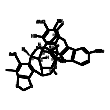 COc1ccc2[nH]c3c(c2c1)C[C@H](CN)N[C@]31CS[C@@H]2c3c(OC(C)=O)c(C)c4c(c3C(COC1=O)N1[C@@H]2[C@H]2c3c(cc(C)c(OC)c3O)C[C@@H]([C@@H]1C)N2C)OCO4